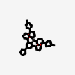 Cc1ccc(-c2ccc(N(c3ccc(-c4ccc(C)cc4)cc3)c3c(-c4ccccc4)cc(-c4ccccc4)cc3-c3ccccc3)cc2)cc1